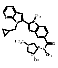 CN(C(=O)c1ccc2c(c1)nc(-c1cc3cccnc3n1CC1CC1)n2C)[C@H]1CN(C(=O)O)C[C@H]1O